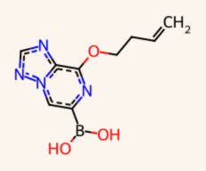 C=CCCOc1nc(B(O)O)cn2ncnc12